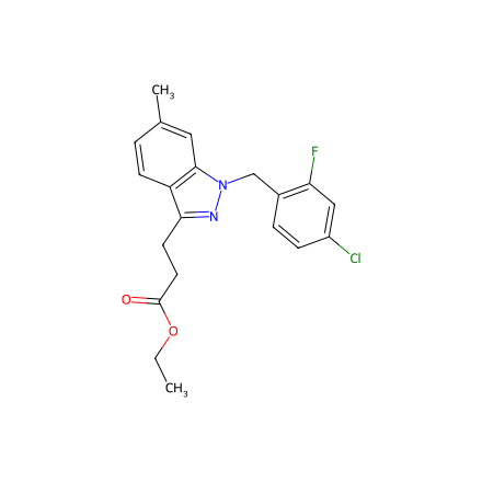 CCOC(=O)CCc1nn(Cc2ccc(Cl)cc2F)c2cc(C)ccc12